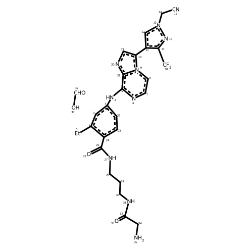 CCc1cc(Nc2nccn3c(-c4cn(CC#N)nc4C(F)(F)F)cnc23)ccc1C(=O)NCCCNC(=O)CN.O=CO